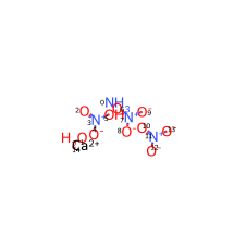 N.O.O=[N+]([O-])O.O=[N+]([O-])[O-].O=[N+]([O-])[O-].[Ca+2]